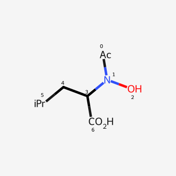 CC(=O)N(O)C(CC(C)C)C(=O)O